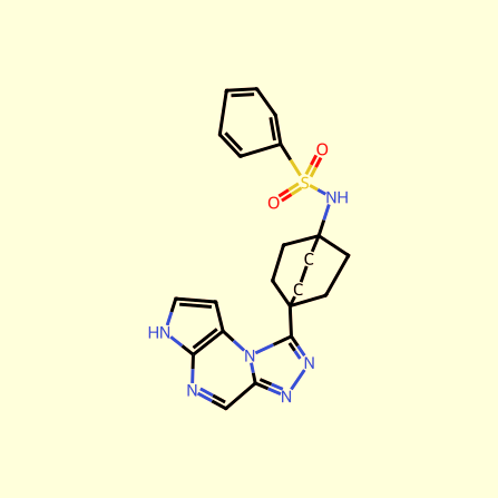 O=S(=O)(NC12CCC(c3nnc4cnc5[nH]ccc5n34)(CC1)CC2)c1ccccc1